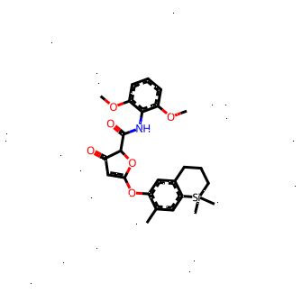 COc1cccc(OC)c1NC(=O)C1OC(Oc2cc3c(cc2C)[Si](C)(C)CCC3)=CC1=O